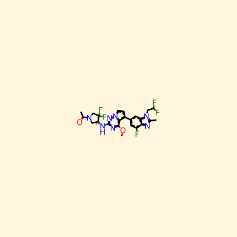 COc1nc(N[C@@H]2CN(C(C)=O)CC2(F)F)nn2ccc(-c3cc(F)c4nc(C)n(CC(F)F)c4c3)c12